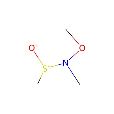 CON(C)[S+](C)[O-]